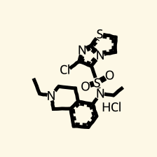 CCN1CCc2c(cccc2N(CC)S(=O)(=O)c2c(Cl)nc3sccn23)C1.Cl